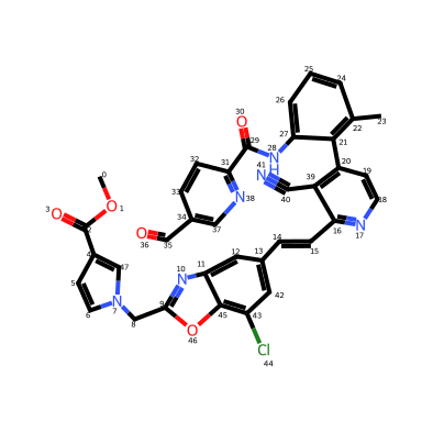 COC(=O)c1ccn(Cc2nc3cc(C=Cc4nccc(-c5c(C)cccc5NC(=O)c5ccc(C=O)cn5)c4C#N)cc(Cl)c3o2)c1